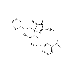 CN1C(=O)C2(CC(c3ccccc3)Oc3ccc(-c4cccc(N(C)C)c4)cc32)N=C1N